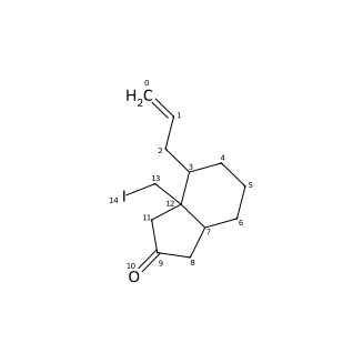 C=CCC1CCCC2CC(=O)CC12CI